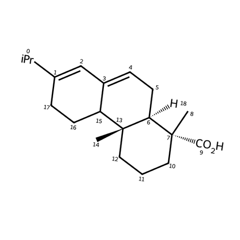 CC(C)C1=CC2=CC[C@H]3[C@](C)(C(=O)O)CCC[C@]3(C)C2CC1